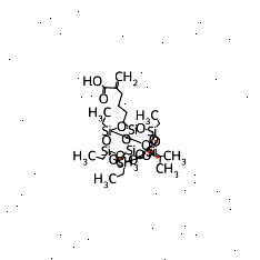 C=C(CCCC[Si]12O[Si]3(CC)O[Si]4(CC)O[Si]5(CC)O[Si](CC)(O3)O[Si](CC)(O[Si](CC)(O5)O[Si](CC)(O4)O1)O2)C(=O)O